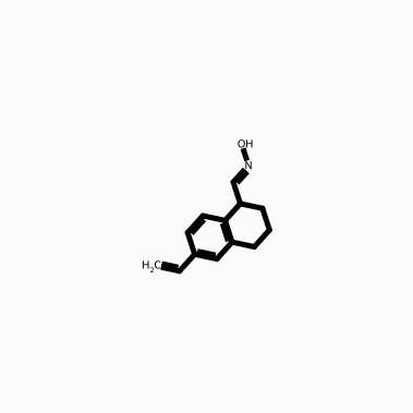 C=Cc1ccc2c(c1)CCCC2C=NO